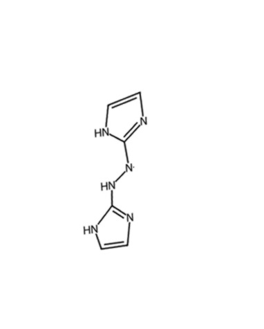 c1c[nH]c([N]Nc2ncc[nH]2)n1